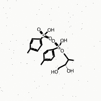 CC(C)[C@H](O)CO.Cc1ccc(S(=O)(=O)O)cc1.Cc1ccc(S(=O)(=O)O)cc1